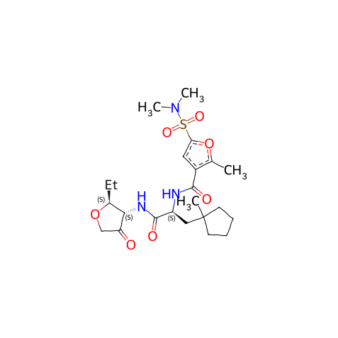 CC[C@@H]1OCC(=O)[C@H]1NC(=O)[C@H](CC1(C)CCCC1)NC(=O)c1cc(S(=O)(=O)N(C)C)oc1C